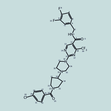 O=C(NCc1ccc(F)c(F)c1)c1cnc(N2CCN(C3CCN(C(=O)c4ccc(Cl)cc4)CC3)CC2)nc1C(F)(F)F